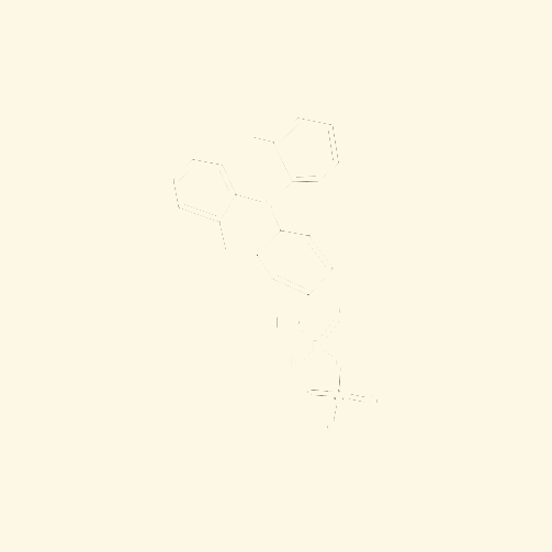 Cc1ccccc1[S+](c1ccccc1C)c1ccccc1C.O=P(O)(O)[O][W](=[O])(=[O])[O-]